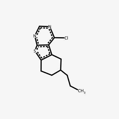 CCCC1CCc2sc3ncnc(Cl)c3c2C1